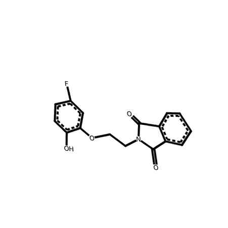 O=C1c2ccccc2C(=O)N1CCOc1cc(F)ccc1O